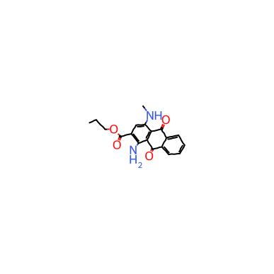 CCCOC(=O)c1cc(NC)c2c(c1N)C(=O)c1ccccc1C2=O